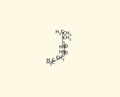 CC(C)=CCC/C(C)=C/CCC1=CCC(C(=O)NCCCNC(=O)C2CC=C(CC/C=C(\C)CCC=C(C)C)CC2)CC1